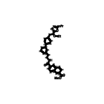 CCCc1nnc(C(Cc2ccc(-c3cccc(CCNC(=O)c4ccc5cc(C(=O)OC)ccc5c4)c3)cc2)OCC)o1